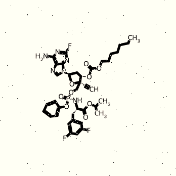 C#C[C@]1(CO[P@@](=O)(N[C@@H](Cc2cc(F)cc(F)c2)C(=O)OC(C)C)Oc2ccccc2)O[C@@H](n2cnc3c(N)nc(F)nc32)C[C@@H]1OC(=O)OCCCCCCC